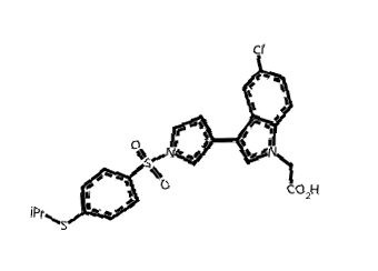 CC(C)Sc1ccc(S(=O)(=O)n2ccc(-c3cn(CC(=O)O)c4ccc(Cl)cc34)c2)cc1